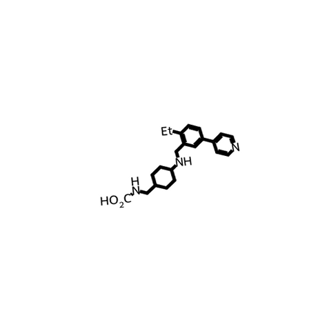 CCc1ccc(-c2ccncc2)cc1CNC1CCC(CNC(=O)O)CC1